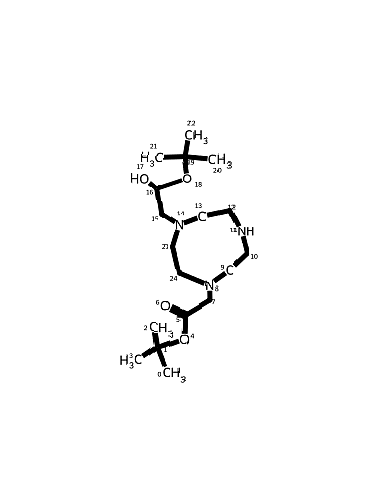 CC(C)(C)OC(=O)CN1CCNCCN(CC(O)OC(C)(C)C)CC1